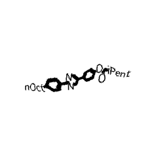 CCCCCCCCc1ccc(-c2ncc(-c3ccc(OC(=O)C(C)CCC)cc3)cn2)cc1